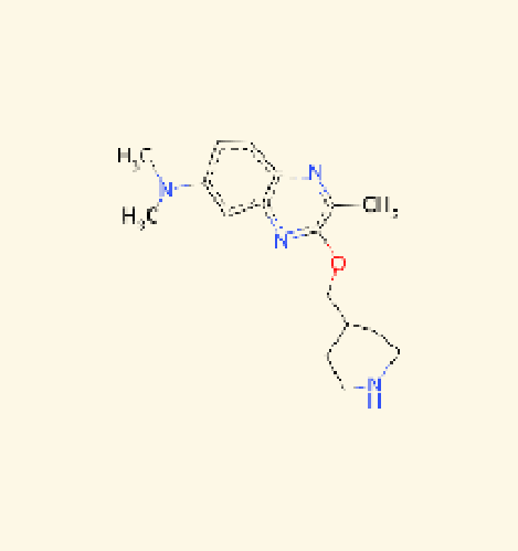 Cc1nc2ccc(N(C)C)cc2nc1OCC1CCNCC1